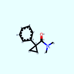 CN(C)C(=O)C1(c2ccccc2)CC1